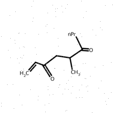 C=CC(=O)CC(C)C(=O)CCC